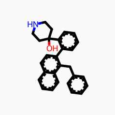 OC1(c2ccccc2-c2ccc3ccccc3c2Cc2ccccc2)CCNCC1